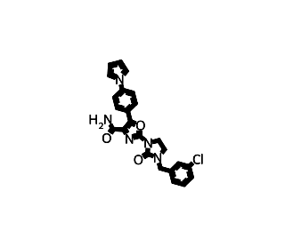 NC(=O)c1nc(N2CCN(Cc3cccc(Cl)c3)C2=O)oc1-c1ccc(-n2cccc2)cc1